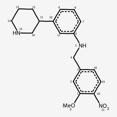 COc1cc(CNc2cccc(C3CCCNC3)c2)ccc1[N+](=O)[O-]